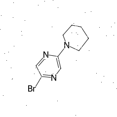 Brc1cnc(N2CCCCC2)cn1